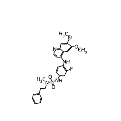 COc1cc2nccc(Nc3ccc(NS(=O)(=O)N(C)CCc4ccccc4)cc3F)c2cc1OC